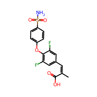 CC(=Cc1cc(F)c(Oc2ccc(S(N)(=O)=O)cc2)c(F)c1)C(=O)O